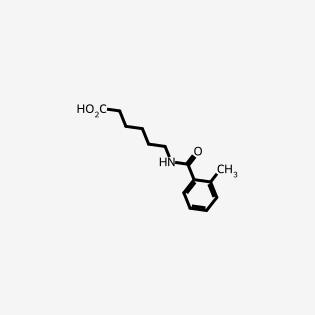 Cc1ccccc1C(=O)NCCCCCC(=O)O